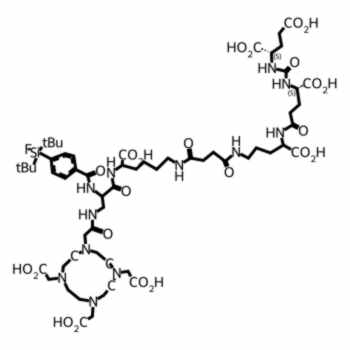 CC(C)(C)[Si](F)(c1ccc(C(=O)NC(CNC(=O)CN2CCN(CC(=O)O)CCN(CC(=O)O)CCN(CC(=O)O)CC2)C(=O)NC(CCCCNC(=O)CCC(=O)NCCCC(NC(=O)CC[C@H](NC(=O)N[C@@H](CCC(=O)O)C(=O)O)C(=O)O)C(=O)O)C(=O)O)cc1)C(C)(C)C